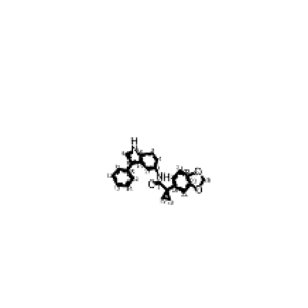 O=C(Nc1ccc2[nH]cc(-c3ccccc3)c2c1)C1(c2ccc3c(c2)OCO3)CC1